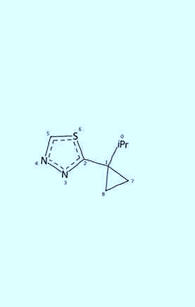 CC(C)C1(c2nncs2)CC1